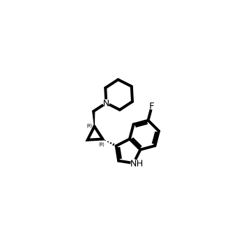 Fc1ccc2[nH]cc([C@@H]3C[C@H]3CN3CCCCC3)c2c1